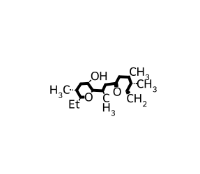 C=C[C@@H](C)[C@@H](C)CC(=O)C[C@H](C)[C@@H]1O[C@H](CC)[C@H](C)C[C@@H]1O